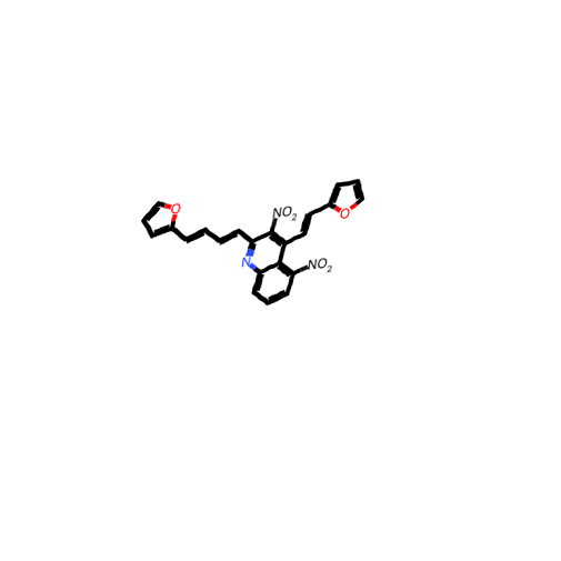 O=[N+]([O-])c1c(C=CC=Cc2ccco2)nc2cccc([N+](=O)[O-])c2c1C=Cc1ccco1